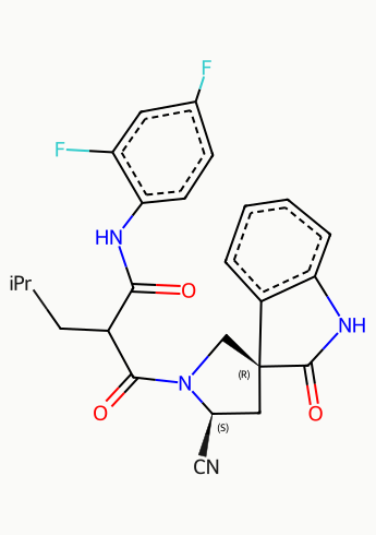 CC(C)CC(C(=O)Nc1ccc(F)cc1F)C(=O)N1C[C@]2(C[C@H]1C#N)C(=O)Nc1ccccc12